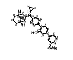 CSc1cc(-c2ccc(-c3ncc(N(C4CC4)[C@@H]4C[C@H]5CCC[C@@H](C4)N5)nn3)c(O)c2)cnn1